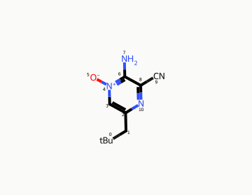 CC(C)(C)Cc1c[n+]([O-])c(N)c(C#N)n1